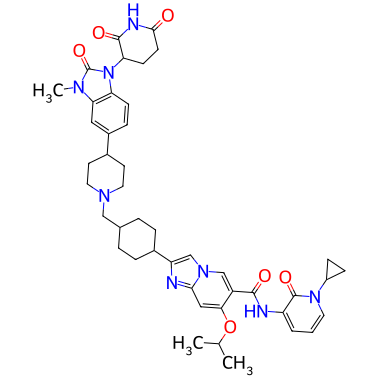 CC(C)Oc1cc2nc(C3CCC(CN4CCC(c5ccc6c(c5)n(C)c(=O)n6C5CCC(=O)NC5=O)CC4)CC3)cn2cc1C(=O)Nc1cccn(C2CC2)c1=O